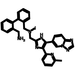 Cc1cccc(-c2nc(CN(I)Cc3ccccc3-c3ccccc3CN)[nH]c2-c2ccc3ncnn3c2)n1